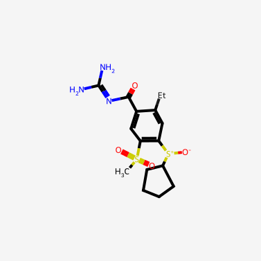 CCc1cc([S+]([O-])C2CCCC2)c(S(C)(=O)=O)cc1C(=O)N=C(N)N